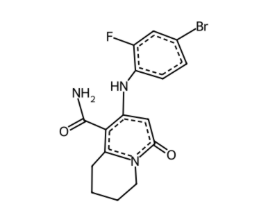 NC(=O)c1c(Nc2ccc(Br)cc2F)cc(=O)n2c1CCCC2